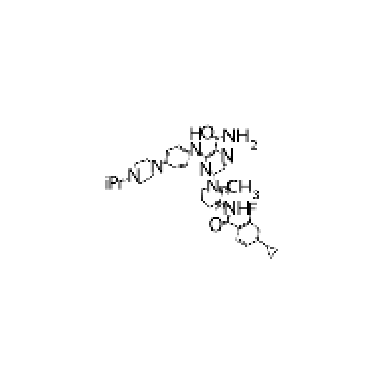 CC(C)N1CCN(c2ccc(Nc3nc(N4CCC[C@@H](NC(=O)c5ccc(C6CC6)cc5F)[C@H]4C)cnc3C(N)=O)cc2)CC1